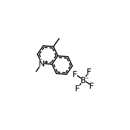 Cc1cc[n+](C)c2ccccc12.F[B-](F)(F)F